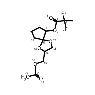 CC(F)(F)C(=O)OC1CCCC12OCC(COC(=O)C(F)(F)F)O2